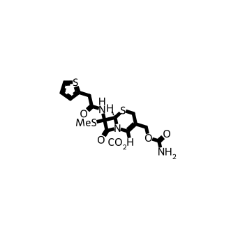 CSC1(NC(=O)Cc2cccs2)C(=O)N2C(C(=O)O)=C(COC(N)=O)CS[C@@H]21